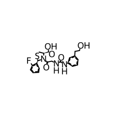 O=C(NCC(=O)N1[C@@H](c2ccccc2F)SC[C@H]1C(=O)O)Nc1cccc(CCO)c1